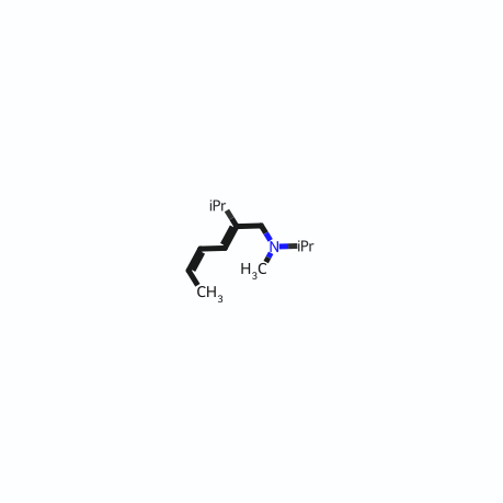 C/C=C\C=C(\CN(C)C(C)C)C(C)C